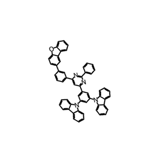 c1ccc(-c2nc(-c3cccc(-c4ccc5oc6ccccc6c5c4)c3)cc(-c3cc(-n4c5ccccc5c5ccccc54)cc(-n4c5ccccc5c5ccccc54)c3)n2)cc1